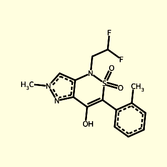 Cc1ccccc1C1=C(O)c2nn(C)cc2N(CC(F)F)S1(=O)=O